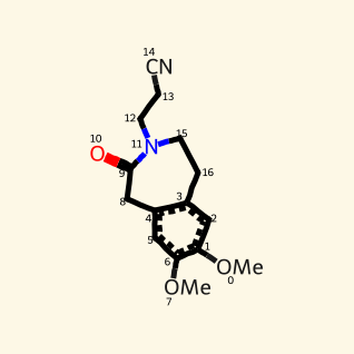 COc1cc2c(cc1OC)CC(=O)N(CCC#N)CC2